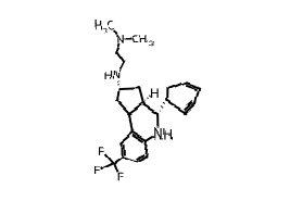 CN(C)CCN[C@H]1CC2c3cc(C(F)(F)F)ccc3N[C@@H](C3C=CC=CC3)[C@@H]2C1